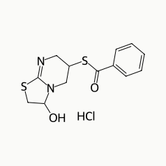 Cl.O=C(SC1CN=C2SCC(O)N2C1)c1ccccc1